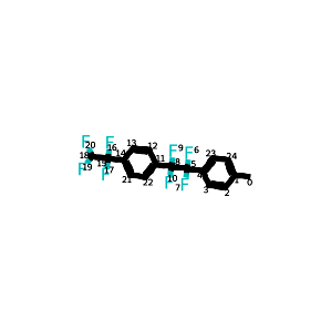 Cc1ccc(C(F)(F)C(F)(F)c2ccc(C(F)(F)C(F)F)cc2)cc1